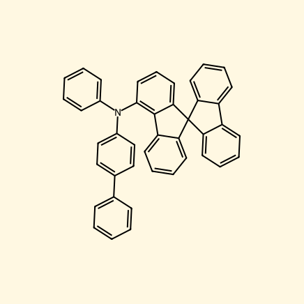 c1ccc(-c2ccc(N(c3ccccc3)c3cccc4c3-c3ccccc3C43c4ccccc4-c4ccccc43)cc2)cc1